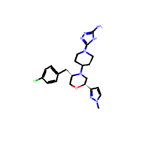 Cn1ccc([C@H]2CN(C3CCN(c4nnc(N)[nH]4)CC3)[C@@H](Cc3ccc(Cl)cc3)CO2)n1